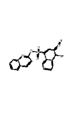 [N-]=[N+]=C1C=C(S(=O)(=O)Oc2ccc3ccccc3n2)c2ccccc2C1O